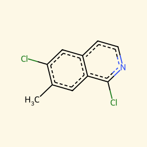 Cc1cc2c(Cl)nccc2cc1Cl